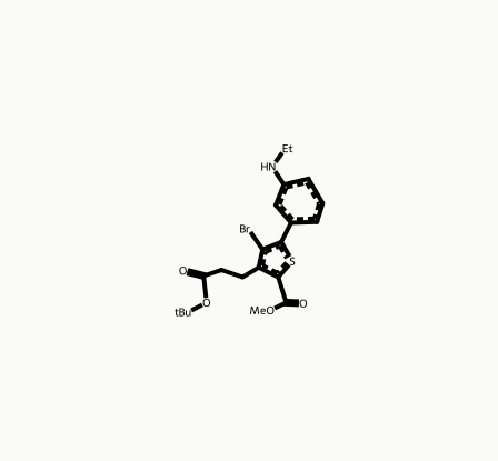 CCNc1cccc(-c2sc(C(=O)OC)c(CCC(=O)OC(C)(C)C)c2Br)c1